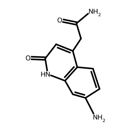 NC(=O)Cc1cc(=O)[nH]c2cc(N)ccc12